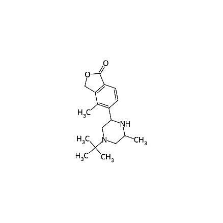 Cc1c(C2CN(C(C)(C)C)CC(C)N2)ccc2c1COC2=O